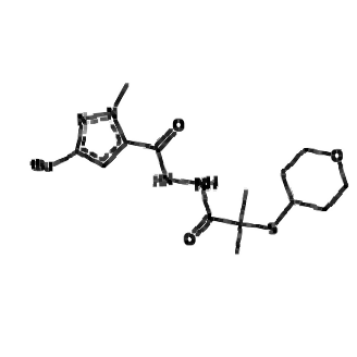 Cn1nc(C(C)(C)C)cc1C(=O)NNC(=O)C(C)(C)SC1CCOCC1